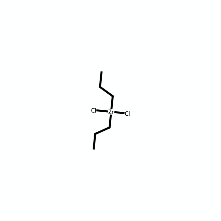 CC[CH2][Zr]([Cl])([Cl])[CH2]CC